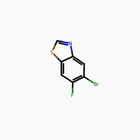 Fc1cc2scnc2cc1Br